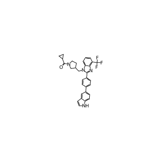 O=C(C1CC1)N1CCC(Cn2c(-c3ccc(-c4ccc5[nH]ccc5c4)cc3)nc3c(C(F)(F)F)cccc32)C1